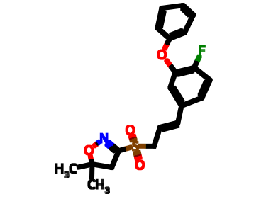 CC1(C)CC(S(=O)(=O)C/C=C/c2ccc(F)c(Oc3ccccc3)c2)=NO1